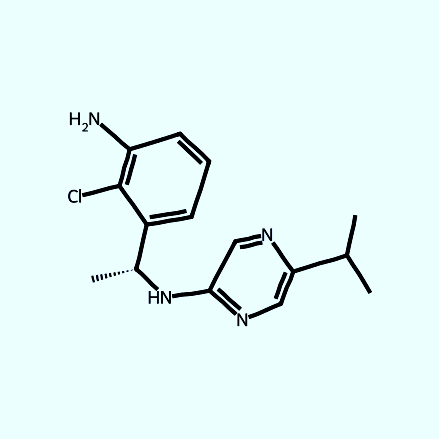 CC(C)c1cnc(N[C@H](C)c2cccc(N)c2Cl)cn1